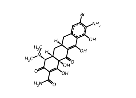 CN(C)[C@@H]1C(=O)C(C(N)=O)=C(O)[C@@]2(O)C(=O)C3=C(O)c4c(cc(Br)c(N)c4O)C[C@H]3C[C@@H]12